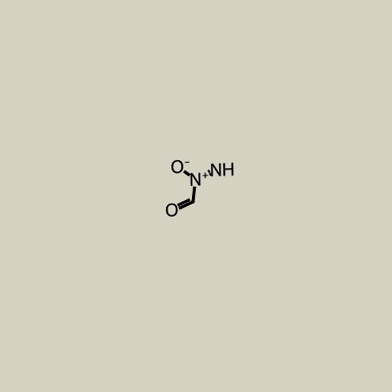 N=[N+]([O-])C=O